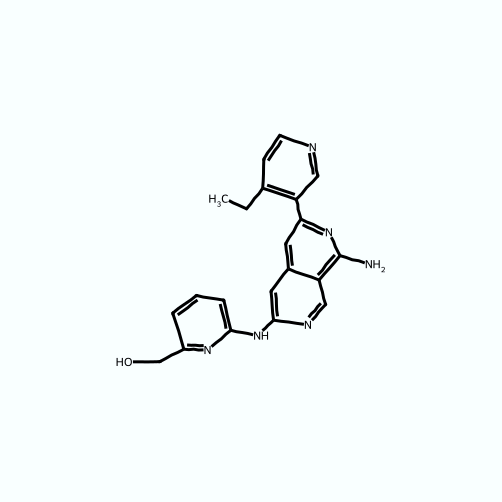 CCc1ccncc1-c1cc2cc(Nc3cccc(CO)n3)ncc2c(N)n1